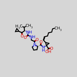 CCCCC/C=C\C1C[C@]1(NC(=O)[C@@H]1CCCN1C(=O)CNC(=O)N[C@H](C(=O)C1CC1)C(C)C)C(=O)O